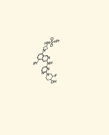 CCCS(=O)(=O)NC1CN(c2ccc(C(C)C)c3cc(Nc4ccnc(N5CCC(O)C(F)C5)n4)ncc23)C1